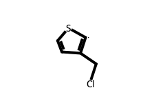 ClCc1[c]scc1